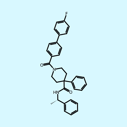 C[C@H](NC(=O)C1(c2ccccc2)CCN(C(=O)c2ccc(-c3ccc(F)cc3)cc2)CC1)c1ccccc1